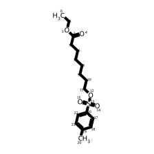 CCOC(=O)CCCCCCCOS(=O)(=O)c1ccc(C)cc1